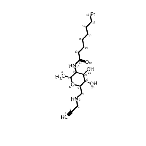 C#CCNCC1O[C@@H](C)C(NC(=O)CCCCCCC(C)C)[C@@H](O)[C@@H]1O